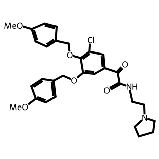 COc1ccc(COc2cc(C(=O)C(=O)NCCN3CCCC3)cc(Cl)c2OCc2ccc(OC)cc2)cc1